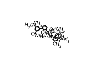 CNC(=O)c1cc(-c2cccc(CN3O[C@@H](CN)[C@@H]([C@H](C)O)[C@H]3C(=O)NC[C@@H](C)[C@@H]3C[C@H](C)C3(C)C)c2OC)cc(N(C)C)c1